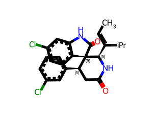 CC=C(C(C)C)[C@H]1NC(=O)C[C@@H](c2cccc(Cl)c2)[C@]12C(=O)Nc1cc(Cl)ccc12